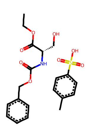 CCOC(=O)[C@H](CO)NC(=O)OCc1ccccc1.Cc1ccc(S(=O)(=O)O)cc1